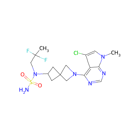 Cn1cc(Cl)c2c(N3CC4(CC(N(CC(C)(F)F)S(N)(=O)=O)C4)C3)ncnc21